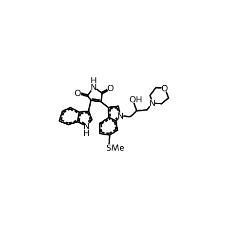 CSc1ccc2c(C3=C(c4c[nH]c5ccccc45)C(=O)NC3=O)cn(CC(O)CN3CCOCC3)c2c1